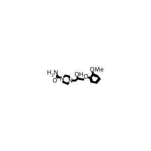 COc1ccccc1OCC(O)CN1CCN(C(N)=O)CC1